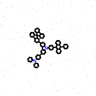 c1ccc(-c2c3ccccc3c(-c3ccc(-n4c5ccc(-c6ccc(N(c7ccccc7)c7ccccc7)cc6)cc5c5cc(-c6ccc7c(c6)C6(c8ccccc8-c8ccccc86)c6ccccc6-7)ccc54)cc3)c3ccccc23)cc1